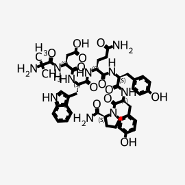 CC(C)(N)C(=O)N[C@@H](CC(=O)O)C(=O)N[C@@H](Cc1c[nH]c2ccccc12)C(=O)N[C@@H](CCC(N)=O)C(=O)N[C@@H](Cc1ccc(O)cc1)C(=O)N[C@@H](Cc1ccc(O)cc1)C(=O)N1CCC[C@H]1C(N)=O